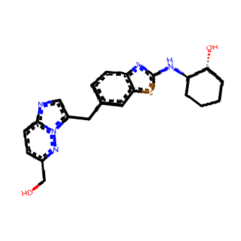 OCc1ccc2ncc(Cc3ccc4nc(N[C@@H]5CCCC[C@H]5O)sc4c3)n2n1